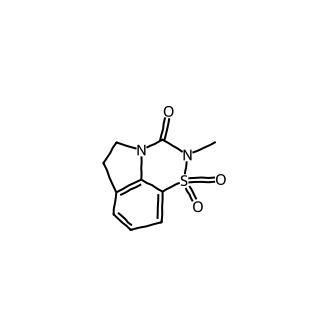 CN1C(=O)N2CCc3cccc(c32)S1(=O)=O